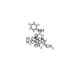 CCCCCC(Nc1ccccc1)O[Si](C)(C)C(C)(C)C